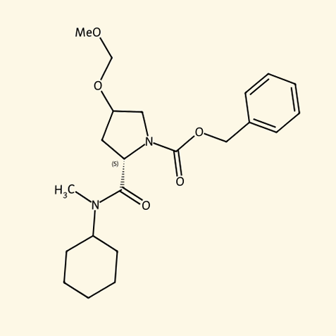 COCOC1C[C@@H](C(=O)N(C)C2CCCCC2)N(C(=O)OCc2ccccc2)C1